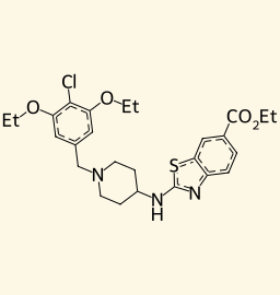 CCOC(=O)c1ccc2nc(NC3CCN(Cc4cc(OCC)c(Cl)c(OCC)c4)CC3)sc2c1